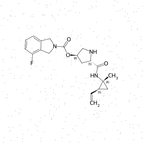 C=C[C@@H]1C[C@@]1(C)NC(=O)[C@@H]1C[C@@H](OC(=O)N2Cc3cccc(F)c3C2)CN1